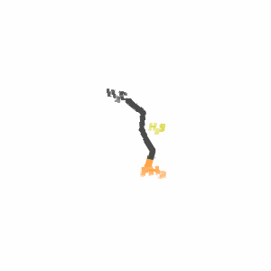 CCCCP.S